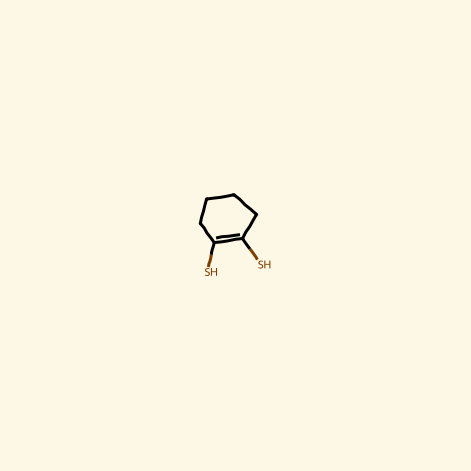 SC1=C(S)CCCC1